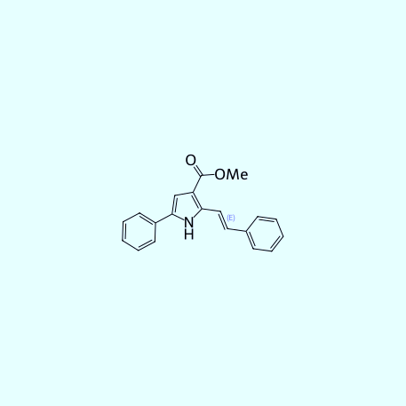 COC(=O)c1cc(-c2ccccc2)[nH]c1/C=C/c1ccccc1